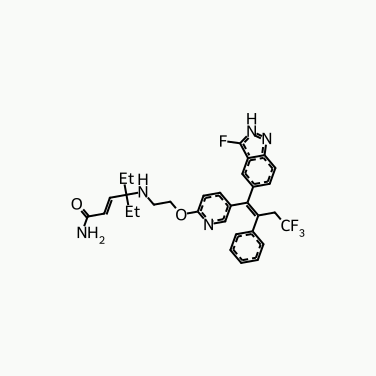 CCC(C=CC(N)=O)(CC)NCCOc1ccc(/C(=C(/CC(F)(F)F)c2ccccc2)c2ccc3n[nH]c(F)c3c2)cn1